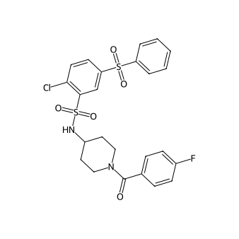 O=C(c1ccc(F)cc1)N1CCC(NS(=O)(=O)c2cc(S(=O)(=O)c3ccccc3)ccc2Cl)CC1